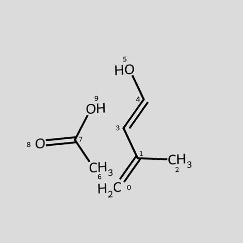 C=C(C)C=CO.CC(=O)O